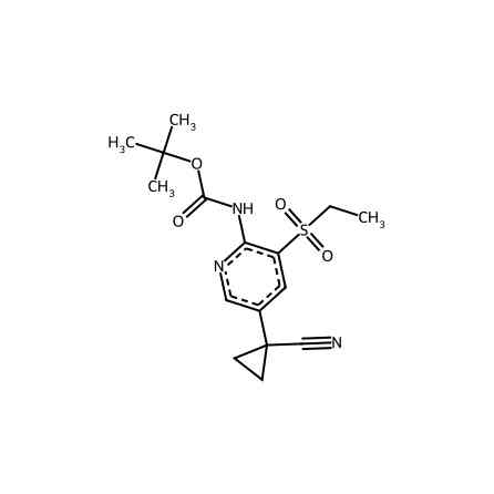 CCS(=O)(=O)c1cc(C2(C#N)CC2)cnc1NC(=O)OC(C)(C)C